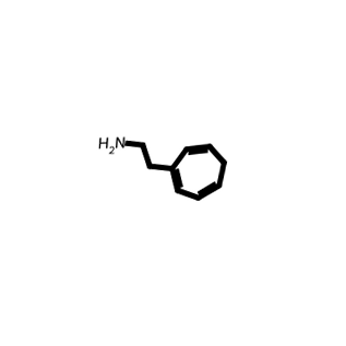 NCCC1=CC=CCC=C1